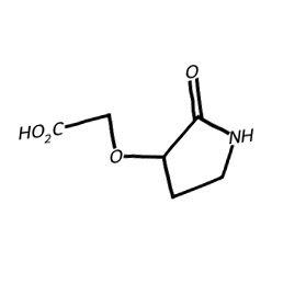 O=C(O)COC1CCNC1=O